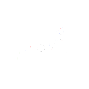 CCc1nonc1C(=O)N[C@H](C(=O)Nc1cc(C)c(C(C)C(=O)N(C)CC(F)(F)F)cc1F)C1CCC(F)(F)CC1